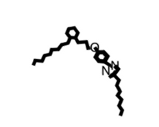 CCCCCCCCCC1CCCCC1CCCOc1ccc(-c2ncc(CCCCCCCC)cn2)cc1